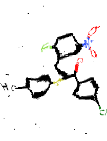 Cc1ccc(S/C(=C/c2cc([N+](=O)[O-])ccc2F)C(=O)c2ccc(Cl)cc2)cc1